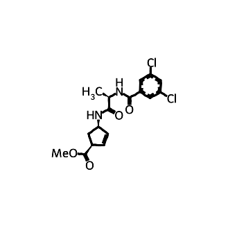 COC(=O)[C@@H]1C=C[C@H](NC(=O)[C@@H](C)NC(=O)c2cc(Cl)cc(Cl)c2)C1